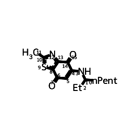 CCCCCC(CC)NC1=CC(=O)c2sc(C)nc2C1=O